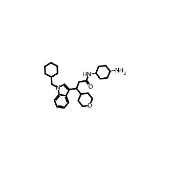 N[C@H]1CC[C@H](NC(=O)CC(c2cn(CC3CCCCC3)c3ccccc23)C2CCOCC2)CC1